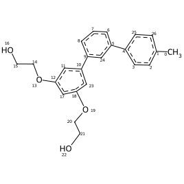 Cc1ccc(-c2cccc(-c3cc(OCCO)cc(OCCO)c3)c2)cc1